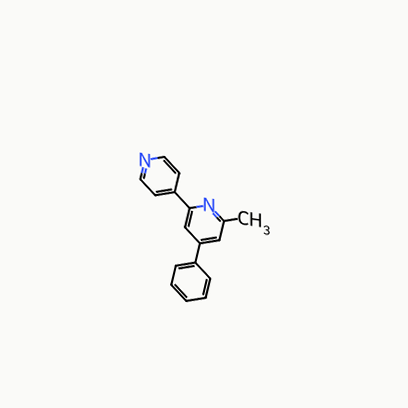 Cc1cc(-c2ccccc2)cc(-c2ccncc2)n1